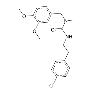 COc1ccc(CN(C)C(=O)NCCc2ccc(Cl)cc2)cc1OC